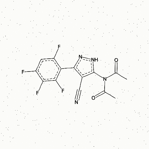 CC(=O)N(C(C)=O)c1[nH]nc(-c2c(F)cc(F)c(F)c2F)c1C#N